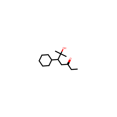 CCC(=O)CC(C1CCCCC1)C(C)(C)O